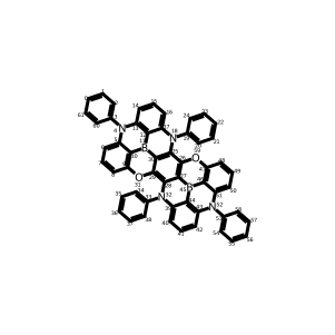 c1ccc(N2c3cccc4c3B3c5c2cccc5N(c2ccccc2)c2c5c6c(c(c23)O4)N(c2ccccc2)c2cccc3c2B6c2c(cccc2N3c2ccccc2)O5)cc1